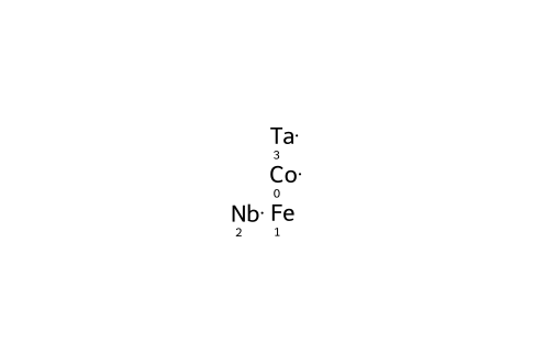 [Co].[Fe].[Nb].[Ta]